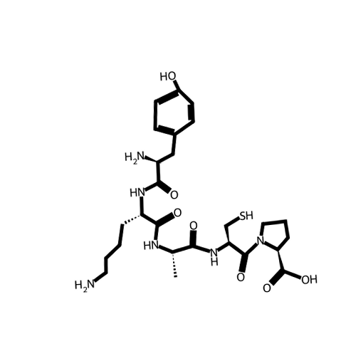 C[C@H](NC(=O)[C@H](CCCCN)NC(=O)[C@@H](N)Cc1ccc(O)cc1)C(=O)N[C@@H](CS)C(=O)N1CCC[C@H]1C(=O)O